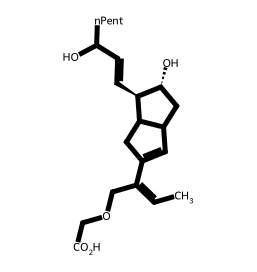 C/C=C(/COCC(=O)O)C1=CC2C[C@@H](O)[C@H](/C=C/C(O)CCCCC)C2C1